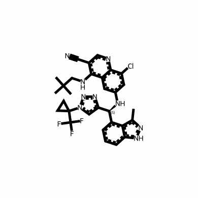 Cc1n[nH]c2cccc([C@H](Nc3cc(Cl)c4ncc(C#N)c(NCC(C)(C)C)c4c3)c3cn(C4(C(F)(F)F)CC4)nn3)c12